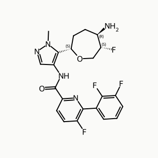 Cn1ncc(NC(=O)c2ccc(F)c(-c3cccc(F)c3F)n2)c1[C@@H]1CC[C@@H](N)[C@H](F)CO1